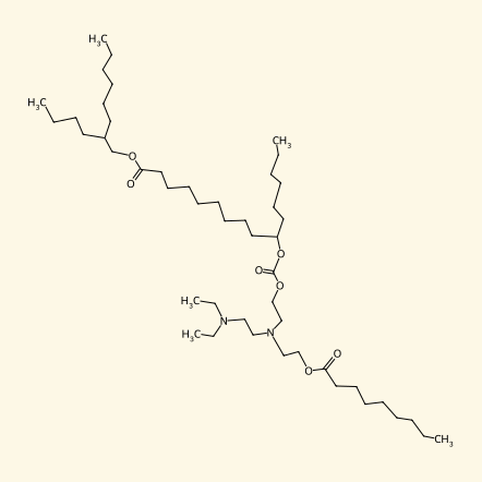 CCCCCCCCC(=O)OCCN(CCOC(=O)OC(CCCCCC)CCCCCCCCC(=O)OCC(CCCC)CCCCCC)CCN(CC)CC